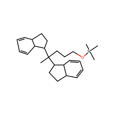 CC(CCCO[Si](C)(C)C)(C1CCC2C=CC=CC21)C1CCC2C=CC=CC21